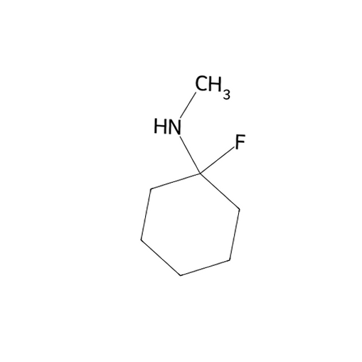 CNC1(F)CCCCC1